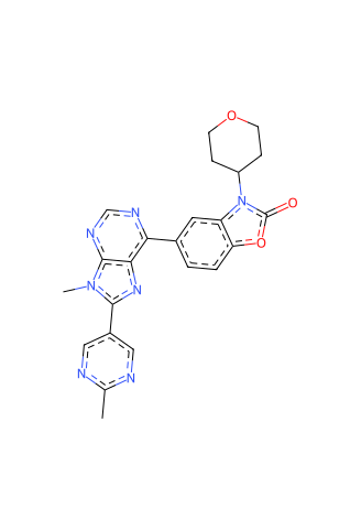 Cc1ncc(-c2nc3c(-c4ccc5oc(=O)n(C6CCOCC6)c5c4)ncnc3n2C)cn1